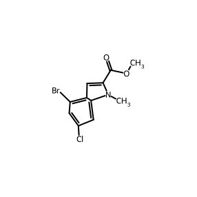 COC(=O)c1cc2c(Br)cc(Cl)cc2n1C